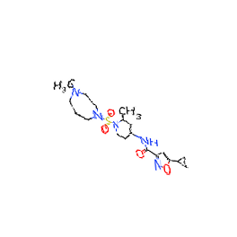 C[C@H]1C[C@@H](NC(=O)c2cc(C3CC3)on2)CCN1S(=O)(=O)N1CCCN(C)CC1